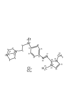 CCN(CC[N+]12CCN(CC1)CC2)c1ccc(/N=N/c2n(C)cc[n+]2C)cc1.[Cl-].[Cl-]